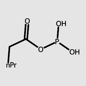 CCCCC(=O)OP(O)O